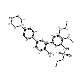 CCCS(=O)(=O)Nc1cc(-c2cc(-c3ccc(N4CCNCC4)cc3)cnc2N)cc(OCC)c1OC